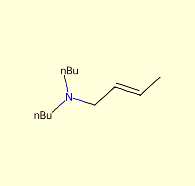 C/C=C/CN(CCCC)CCCC